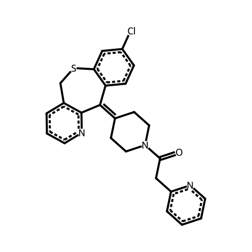 O=C(Cc1ccccn1)N1CCC(=C2c3ccc(Cl)cc3SCc3cccnc32)CC1